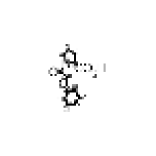 O=C(O)C1CCCN1C(=O)COc1cc[c]cc1